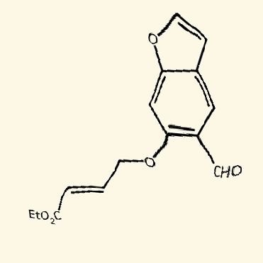 CCOC(=O)C=CCOc1cc2occc2cc1C=O